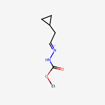 CCOC(=O)N/N=C/CC1CC1